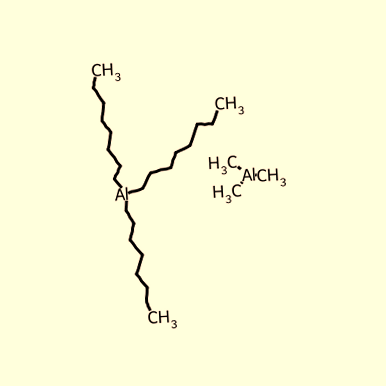 CCCCCCC[CH2][Al]([CH2]CCCCCCC)[CH2]CCCCCCC.[CH3][Al]([CH3])[CH3]